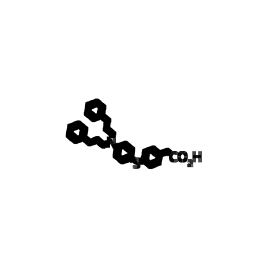 O=C(O)Cc1ccc(Sc2ccc(N(CCCc3ccccc3)CCCc3ccccc3)cc2)cc1